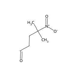 CC(C)(CC[C]=O)[N+](=O)[O-]